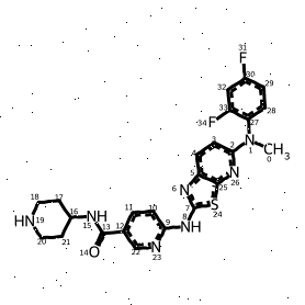 CN(c1ccc2nc(Nc3ccc(C(=O)NC4CCNCC4)cn3)sc2n1)c1ccc(F)cc1F